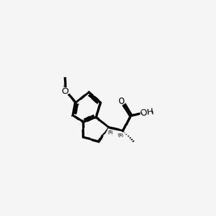 COc1ccc2c(c1)CC[C@@H]2[C@@H](C)C(=O)O